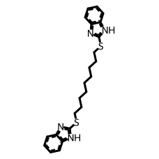 c1ccc2[nH]c(SCCCCCCCCCSc3nc4ccccc4[nH]3)nc2c1